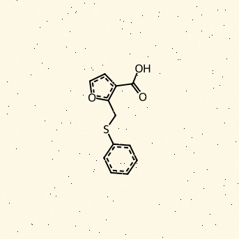 O=C(O)c1ccoc1CSc1ccccc1